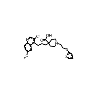 COc1ccc2ncc(Cl)c(CCCC3(C(=O)O)CCN(CCSc4cccs4)CC3)c2c1